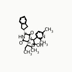 CCC(CC)[C@@H]1C(=O)N[C@H](C2Cc3ccccc3C2)C(=O)N1C(C(=O)O)c1ccc(C)nc1C